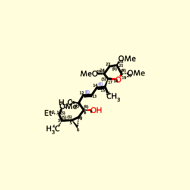 CC[C@H](OC)[C@@H](C)[C@@H]1C[C@H]1[C@H](O)[C@@H](C)/C=C/C=C(\C)[C@@H]1O[C@@H](OC)[C@H](OC)C[C@@H]1OC